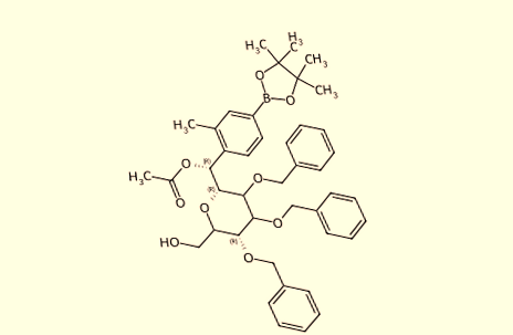 CC(=O)O[C@H](c1ccc(B2OC(C)(C)C(C)(C)O2)cc1C)[C@H]1OC(CO)[C@@H](OCc2ccccc2)C(OCc2ccccc2)C1OCc1ccccc1